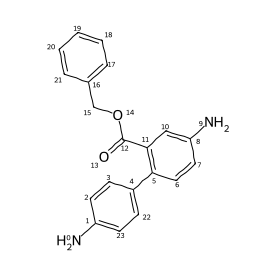 Nc1ccc(-c2ccc(N)cc2C(=O)OCc2ccccc2)cc1